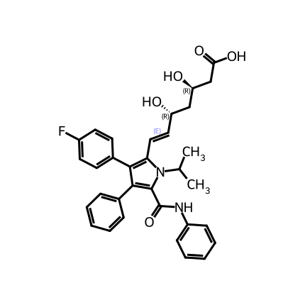 CC(C)n1c(/C=C/[C@H](O)C[C@@H](O)CC(=O)O)c(-c2ccc(F)cc2)c(-c2ccccc2)c1C(=O)Nc1ccccc1